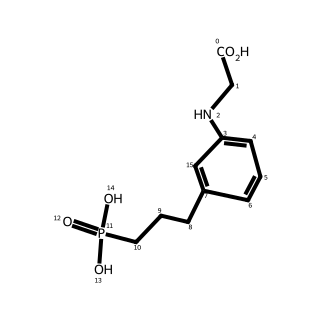 O=C(O)CNc1cccc(CCCP(=O)(O)O)c1